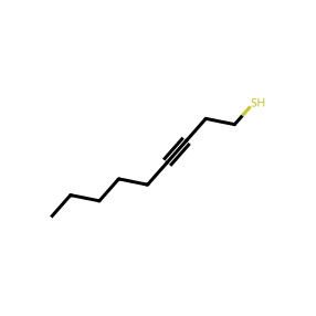 CCCCCC#CCCS